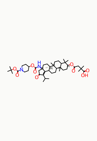 CC(C)C1=C2C3CCC4[C@@]5(C)CC[C@H](OC(=O)CC(C)(C)C(=O)O)C(C)(C)C5CC[C@@]4(C)[C@]3(C)CC[C@@]2(NC(=O)OC2CCN(C(=O)OC(C)(C)C)CC2)CC1=O